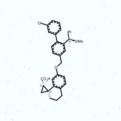 CO[C@@H](c1cc(COc2ccc3c(c2)[C@@]2(CCC3)C[C@@H]2C(=O)O)ccc1-c1cccc(Cl)c1)C(C)C